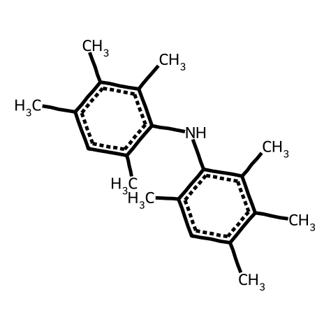 Cc1cc(C)c(Nc2c(C)cc(C)c(C)c2C)c(C)c1C